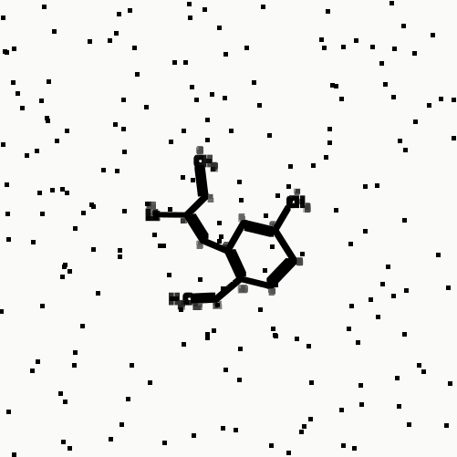 C=C/C(=C\c1cc(C)ccc1C=C)CC